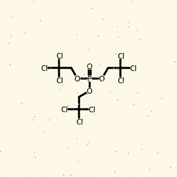 O=P(OCC(Cl)(Cl)Cl)(OCC(Cl)(Cl)Cl)OCC(Cl)(Cl)Cl